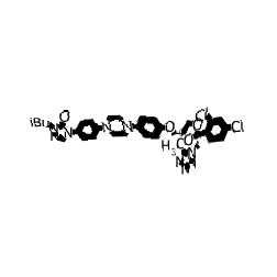 CCC(C)n1ncn(-c2ccc(N3CCN(c4ccc(OC[C@@H]5CO[C@@](Cn6nnnc6C)(c6ccc(Cl)cc6Cl)O5)cc4)CC3)cc2)c1=O